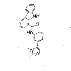 Cc1ncc(-c2cccc(NC(=O)c3cccc4c3[nH]c3ccccc34)c2)n1C